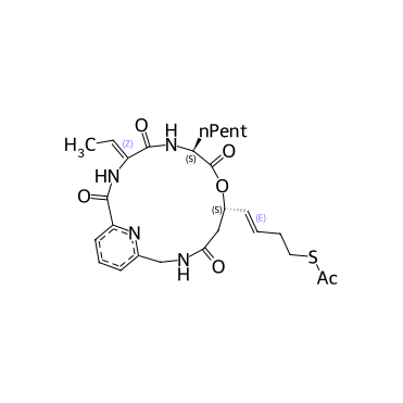 C/C=C1\NC(=O)c2cccc(n2)CNC(=O)C[C@@H](/C=C/CCSC(C)=O)OC(=O)[C@H](CCCCC)NC1=O